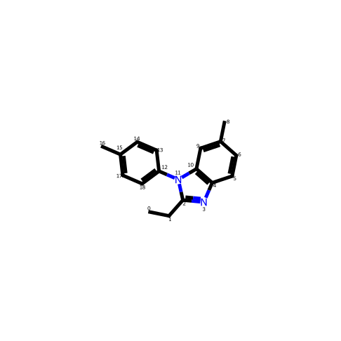 CCc1nc2ccc(C)cc2n1-c1ccc(C)cc1